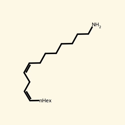 CCCCCC/C=C\C/C=C\CCCCCCCN